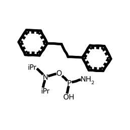 CC(C)N(OP(N)O)C(C)C.c1ccc(CCc2ccccc2)cc1